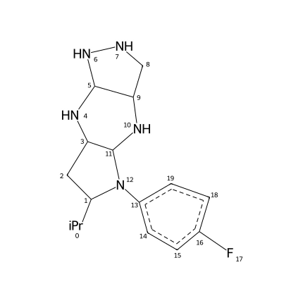 CC(C)C1CC2NC3NNCC3NC2N1c1ccc(F)cc1